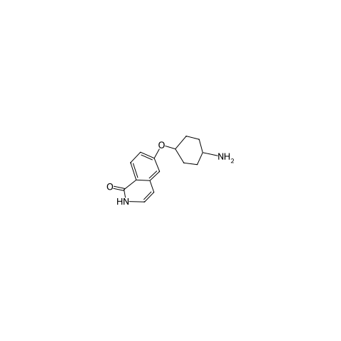 NC1CCC(Oc2ccc3c(=O)[nH]ccc3c2)CC1